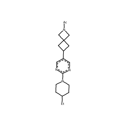 CCC1CCN(c2ncc(C3CC4(C3)CN(C(C)=O)C4)cn2)CC1